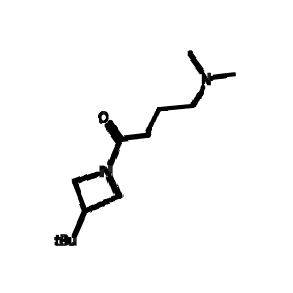 CN(C)CCCC(=O)N1CC(C(C)(C)C)C1